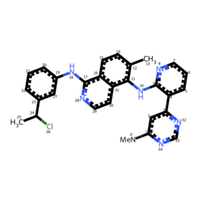 CNc1cc(-c2cccnc2Nc2c(C)ccc3c(Nc4cccc(C(C)Cl)c4)nccc23)ncn1